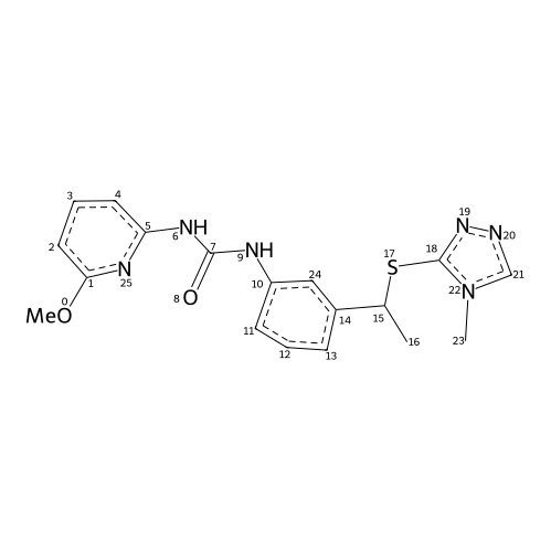 COc1cccc(NC(=O)Nc2cccc(C(C)Sc3nncn3C)c2)n1